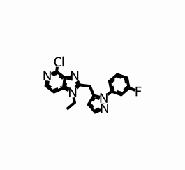 CCn1c(Cc2ccnn2-c2cccc(F)c2)nc2c(Cl)nccc21